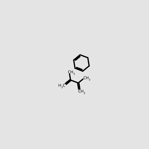 C1=CCCC=C1.C=C(C)C(=C)C